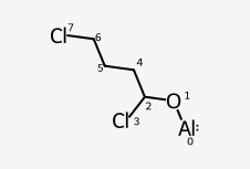 [Al][O]C(Cl)CCCCl